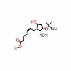 CCCCCCCC[C@H]1C(O[Si](C)(C)C(C)(C)C)C[C@H](O)[C@@H]1C/C=C\CCCC(=O)OC(C)C